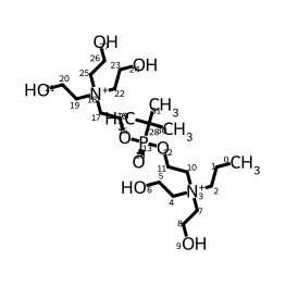 CCC[N+](CCO)(CCO)CCOP(=O)(OCC[N+](CCO)(CCO)CCO)C(C)(C)C